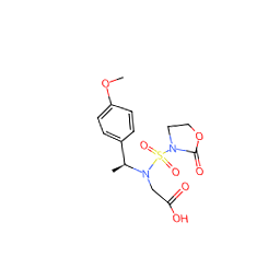 COc1ccc([C@H](C)N(CC(=O)O)S(=O)(=O)N2CCOC2=O)cc1